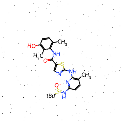 Cc1ccc(N[S+]([O-])C(C)(C)C)nc1Nc1ncc(C(=O)Nc2c(C)ccc(O)c2C)s1